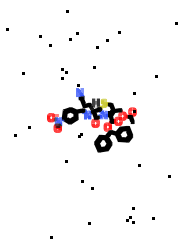 CC(=O)OCC1=C(C(=O)OC(c2ccccc2)c2ccccc2)N2C(=O)[C@](CCC#N)(N=Cc3ccc([N+](=O)[O-])cc3)[C@H]2SC1